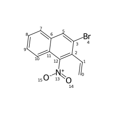 C=Cc1c(Br)cc2ccccc2c1[N+](=O)[O-]